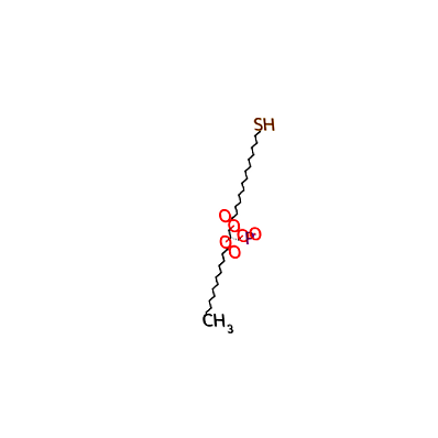 CCCCCCCCCCCCC(=O)O[C@@H](COP=O)COC(=O)CCCCCCCCCCCCCCCS